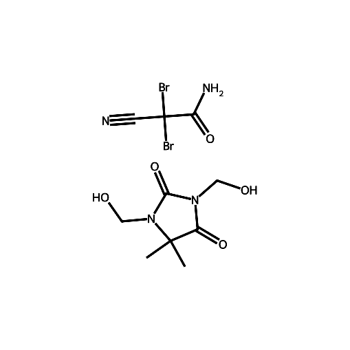 CC1(C)C(=O)N(CO)C(=O)N1CO.N#CC(Br)(Br)C(N)=O